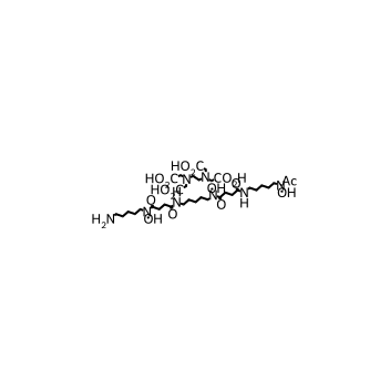 CC(=O)N(O)CCCCCNC(=O)CCC(=O)N(O)CCCCCNC(=O)CCC(=O)N(O)CCCCCN.O=C(O)CN(CCN(CC(=O)O)CC(=O)O)CC(=O)O